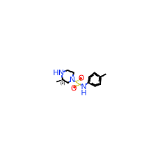 Cc1ccc(NS(=O)(=O)N2CCN[C@H](C)C2)cc1